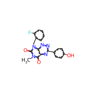 Cn1c(=O)c2nc(-c3ccc(O)cc3)nnc2n(Cc2ccccc2F)c1=O